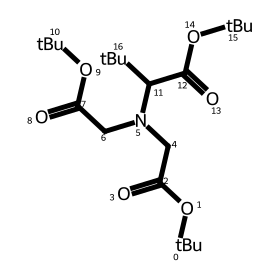 CC(C)(C)OC(=O)CN(CC(=O)OC(C)(C)C)C(C(=O)OC(C)(C)C)C(C)(C)C